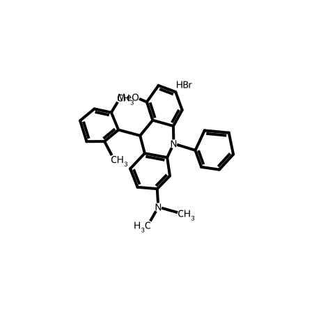 Br.COc1cccc2c1C(c1c(C)cccc1C)c1ccc(N(C)C)cc1N2c1ccccc1